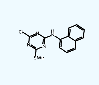 CSc1nc(Cl)nc(Nc2cccc3ccccc23)n1